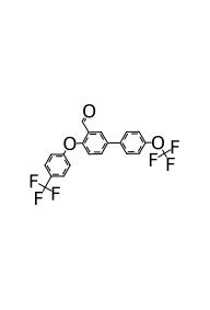 O=Cc1cc(-c2ccc(OC(F)(F)F)cc2)ccc1Oc1ccc(C(F)(F)F)cc1